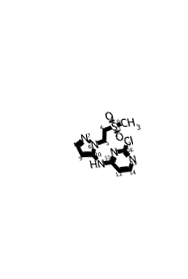 CS(=O)(=O)CCn1nccc1Nc1ccnc(Cl)n1